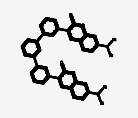 CCN(CC)c1ccc2cc(-c3cccc(-c4cccc(-c5cccc(-c6cc7ccc(N(CC)CC)cc7oc6=O)c5)c4)c3)c(=O)oc2c1